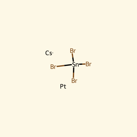 [Br][Sn]([Br])([Br])[Br].[Cs].[Pt]